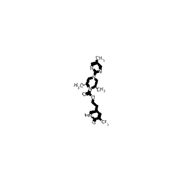 Cc1cnc(N2C[C@@H](C)N(C(=O)OCCc3c[nH]c(=O)c(C(F)(F)F)c3)[C@@H](C)C2)nc1